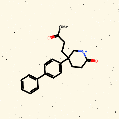 COC(=O)CCC1(c2ccc(-c3ccccc3)cc2)CCC(=O)NC1